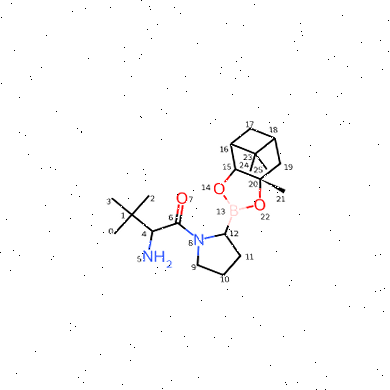 CC(C)(C)C(N)C(=O)N1CCCC1B1OC2C3CC(C[C@]2(C)O1)C3(C)C